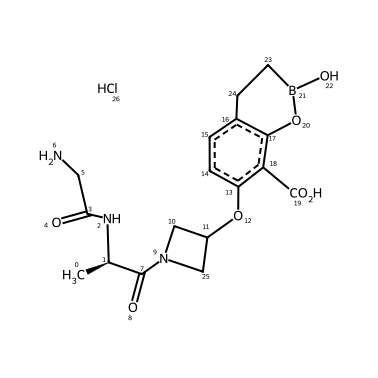 C[C@@H](NC(=O)CN)C(=O)N1CC(Oc2ccc3c(c2C(=O)O)OB(O)CC3)C1.Cl